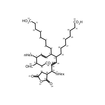 CCCCCCC(/C=C/C(CCCCCCCC(=O)O)C(/C=C/C(CCCCCC)C1CC(=O)OC1=O)CCCCCCCC(=O)O)C(C=O)CC(=O)O